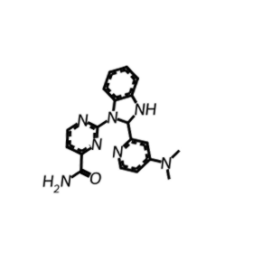 CN(C)c1ccnc(C2Nc3ccccc3N2c2nccc(C(N)=O)n2)c1